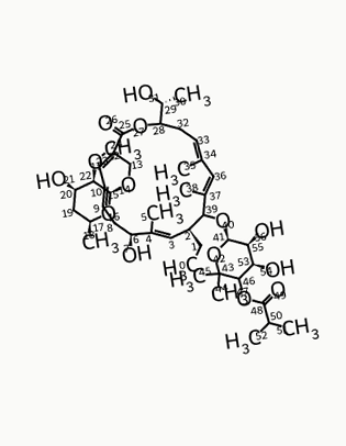 CC[C@H]1/C=C(\C)[C@@H](O)C/C=C/C=C(\CO[C@H]2O[C@@H](C)C[C@@H](O)[C@H]2OC)C(=O)OC([C@@H](C)O)C/C=C(C)/C=C(\C)C1O[C@@H]1OC(C)(C)C(OC(=O)C(C)C)[C@H](O)[C@@H]1O